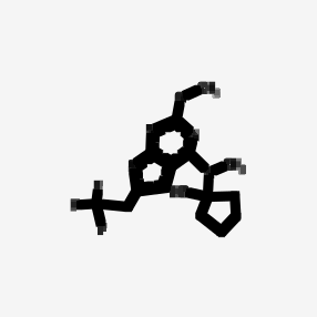 COc1nc(N(C)C2(O)CCCC2)c2cc(CC(F)(F)F)sc2n1